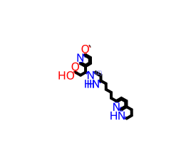 COc1ccc(C(CC(=O)O)N/C=C\C(=N)CCCCc2ccc3c(n2)NCCC3)cn1